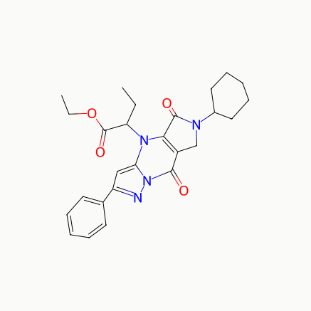 CCOC(=O)C(CC)n1c2c(c(=O)n3nc(-c4ccccc4)cc13)CN(C1CCCCC1)C2=O